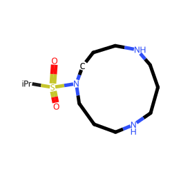 CC(C)S(=O)(=O)N1CCCNCCCNCCC1